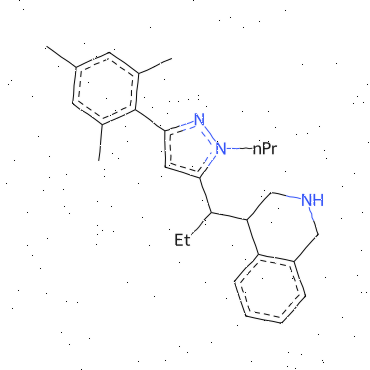 CCCn1nc(-c2c(C)cc(C)cc2C)cc1C(CC)C1CNCc2ccccc21